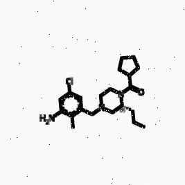 CCC[C@@H]1CN(Cc2cc(Cl)cc(N)c2C)CCN1C(=O)C1CCCC1